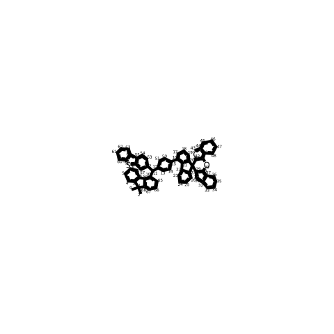 CC1(C)c2ccccc2-c2c(C(c3ccc(-c4cccc5c4-c4ccccc4C54c5ccc6ccccc6c5Oc5c4ccc4ccccc54)cc3)c3ccc4c(c3)sc3ccccc34)cccc21